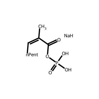 CCCCCC=C(C)C(=O)OP(=O)(O)O.[NaH]